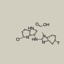 Cn1c(Nc2c[nH]c3ccc(Cl)nc23)nc2cc(F)ccc21.O=CO